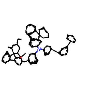 C=C1CC(CC)CC(CC)C12c1ccccc1-c1ccc(-c3cccc(N(c4ccc(-c5cccc(-c6ccccc6)c5)cc4)c4ccc5c(c4)C4(CCCCC4)c4ccccc4-5)c3)cc12